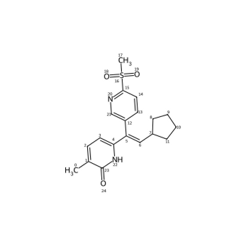 Cc1ccc(/C(=C/C2CCCC2)c2ccc(S(C)(=O)=O)nc2)[nH]c1=O